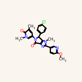 COc1ccc(-c2nc3c(n2C)C(c2ccc(Cl)cc2)N(c2cc(C)c(=O)n(C)c2)C3=O)cn1